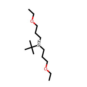 CCOCCC[SiH](CCCOCC)C(C)(C)C